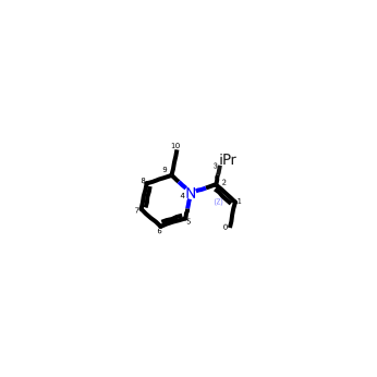 C/C=C(/C(C)C)N1C=CC=CC1C